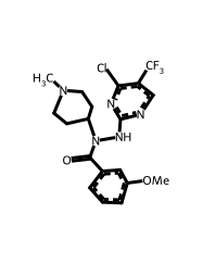 COc1cccc(C(=O)N(Nc2ncc(C(F)(F)F)c(Cl)n2)C2CCN(C)CC2)c1